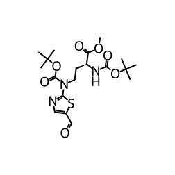 COC(=O)[C@H](CCN(C(=O)OC(C)(C)C)c1ncc(C=O)s1)NC(=O)OC(C)(C)C